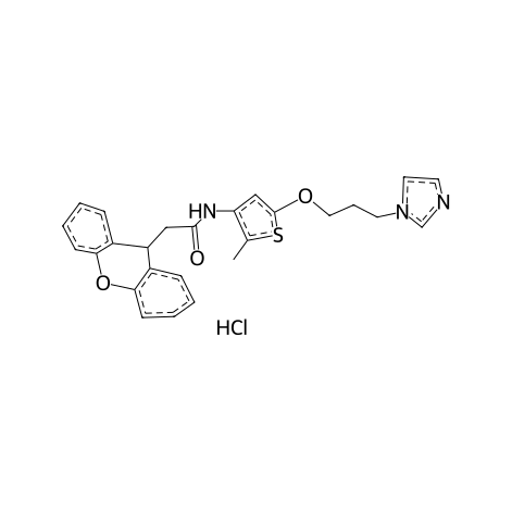 Cc1sc(OCCCn2ccnc2)cc1NC(=O)CC1c2ccccc2Oc2ccccc21.Cl